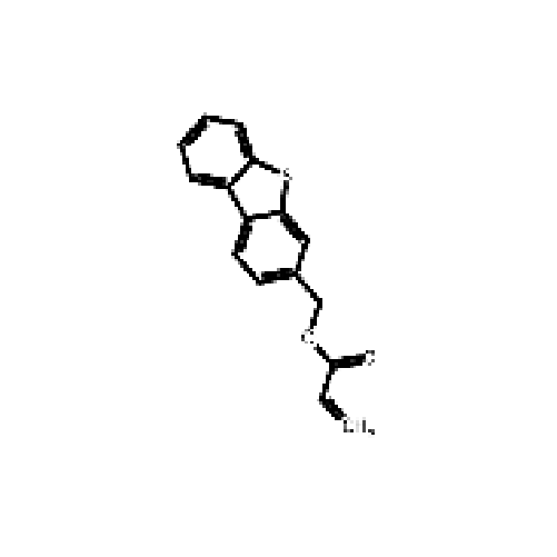 C=CC(=O)OCc1ccc2c(c1)sc1ccccc12